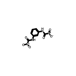 O=C(Nc1cccc(NC(=O)[N+](=O)[O-])c1)[N+](=O)[O-]